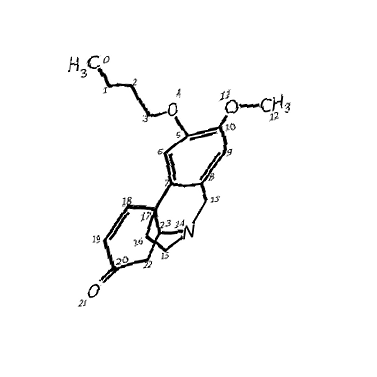 CCCCOc1cc2c(cc1OC)CN1CCC23C=CC(=O)CC13